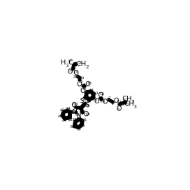 C=C(C)C(=O)OCCOC(=O)Oc1ccc(OC(=O)OCCOC(=O)C(=C)C)c2c1SC(=C1C(=O)N(c3ccccc3)N(c3ccccc3)C1=O)S2